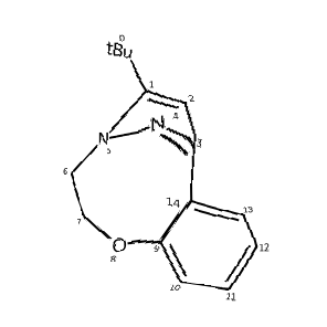 CC(C)(C)c1cc2nn1CCOc1ccccc1-2